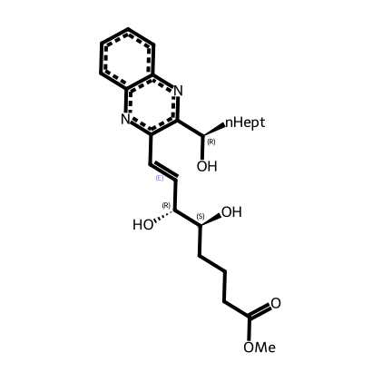 CCCCCCC[C@@H](O)c1nc2ccccc2nc1/C=C/[C@@H](O)[C@@H](O)CCCC(=O)OC